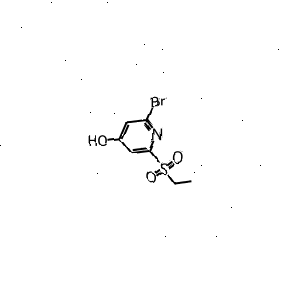 CCS(=O)(=O)c1cc(O)cc(Br)n1